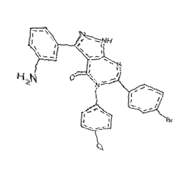 Nc1cccc(-c2n[nH]c3nc(-c4ccc(Br)cc4)n(-c4ccc(Cl)cc4)c(=O)c23)c1